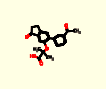 CC(=O)c1cccc(-c2cc3c(cc2OC(C)(C)C(=O)O)C(=O)CC3)c1